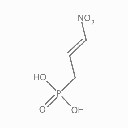 O=[N+]([O-])C=CCP(=O)(O)O